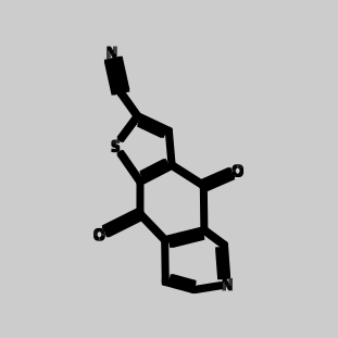 N#Cc1cc2c(s1)C(=O)c1ccncc1C2=O